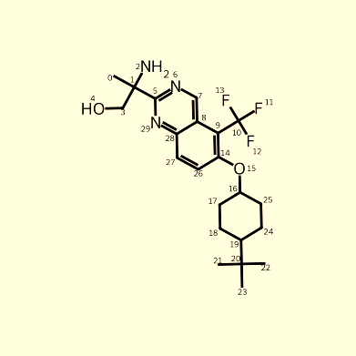 CC(N)(CO)c1ncc2c(C(F)(F)F)c(OC3CCC(C(C)(C)C)CC3)ccc2n1